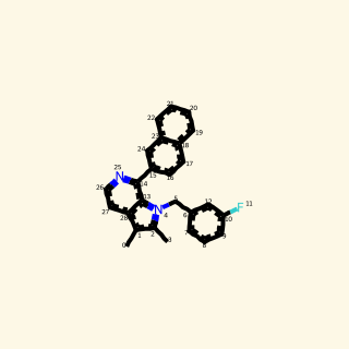 Cc1c(C)n(Cc2cccc(F)c2)c2c(-c3ccc4ccccc4c3)nccc12